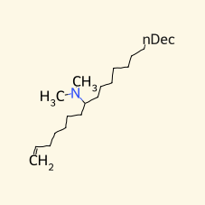 C=CCCCCCC(CCCCCCCCCCCCCCCCC)N(C)C